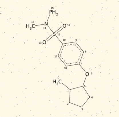 CC1CCCC1Oc1ccc(S(=O)(=O)N(C)P)cc1